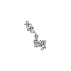 C[C@H]1CN(c2ncc(Cl)c(Nc3ccc4c(c3)c3c(c(=O)n4C)OCC(F)(F)[C@H](C4CC4)N3)n2)CCN1CC1CCN(c2cccc3c(C4CCC(=O)NC4=O)nn(C)c23)CC1